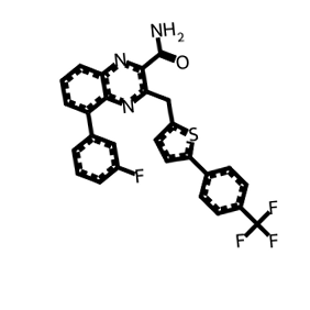 NC(=O)c1nc2cccc(-c3cccc(F)c3)c2nc1Cc1ccc(-c2ccc(C(F)(F)F)cc2)s1